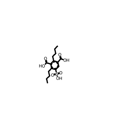 CCCCc1c(C(=O)O)cc(S(=O)(=O)O)c(CCCC)c1C(=O)O